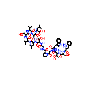 CC(C)C[C@H](NC(=O)[C@H](CO)NC(=O)[C@@H](NC(=O)[C@@H](NC(=O)[C@@H](NC(=O)[C@H](CC(C)C)NC(=O)[C@@H](NC(=O)CNC(=O)[C@@H]1CCCN1C(=O)CNC(=O)[C@H](Cc1c[nH]c2ccccc12)NC(=O)[C@@H](NC(=O)[C@H](CO)NC(=O)[C@@H](N)Cc1ccccc1)[C@@H](C)O)[C@@H](C)O)C(C)C)[C@@H](C)O)C(C)C)C(=O)O